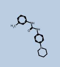 Cc1cccc(NC(=O)Nc2ccc(N3CCCCC3)cc2)c1